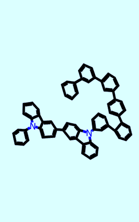 c1ccc(-c2cccc(-c3cccc(-c4ccc(-c5ccccc5-c5cccc(-n6c7ccccc7c7cc(-c8ccc9c(c8)c8ccccc8n9-c8ccccc8)ccc76)c5)cc4)c3)c2)cc1